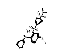 CN(c1ccc(C(F)(F)F)cc1NS(=O)(=O)c1ccc(S(=O)(=O)N(C)C)cc1)C1CCCCC1